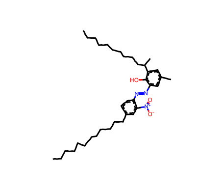 CCCCCCCCCCCCc1ccc(N=Nc2cc(C)cc(C(C)CCCCCCCCCC)c2O)c([N+](=O)[O-])c1